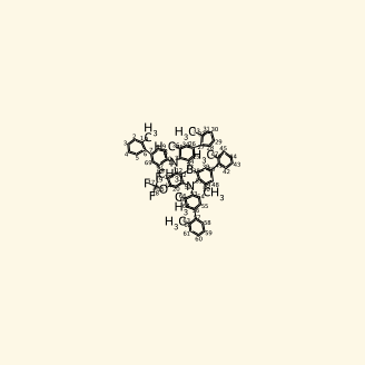 Cc1ccccc1-c1ccc(N2c3cc(OC(F)(F)F)cc4c3B(c3cc(-c5ccccc5C)cc(C)c32)c2cc(-c3ccccc3C)cc(C)c2N4c2ccc(-c3ccccc3C)cc2C)c(C)c1